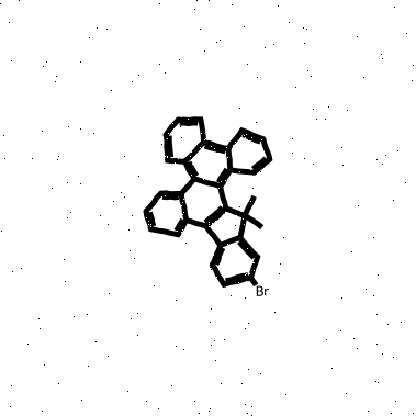 CC1(C)c2cc(Br)ccc2-c2c1c1c3ccccc3c3ccccc3c1c1ccccc21